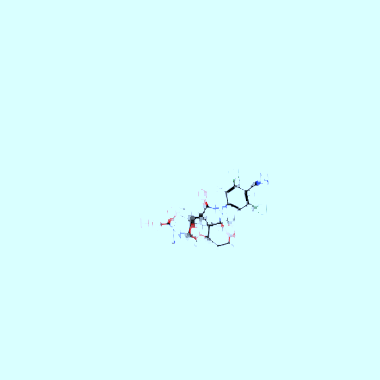 CN(C(=O)O)[C@@H]1C[C@@]23CCO[C@H]4[C@@H]2[C@H](C(=O)N4c2cc(Cl)c(C#N)c(Cl)c2)[C@]1(C)O3